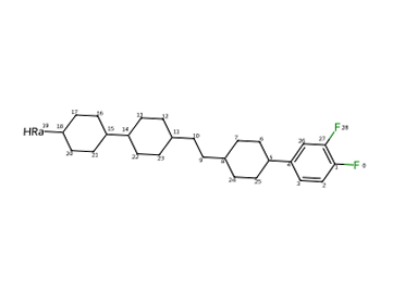 Fc1ccc(C2CCC(CCC3CCC(C4CC[CH]([RaH])CC4)CC3)CC2)cc1F